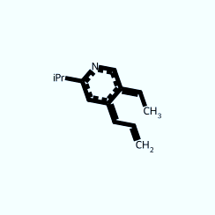 C=C/C=c1/cc(C(C)C)nc/c1=C/C